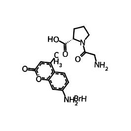 Br.Cc1cc(=O)oc2cc(N)ccc12.NCC(=O)N1CCC[C@H]1C(=O)O